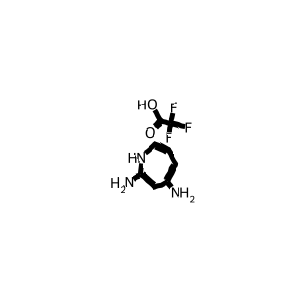 NC1=CC=CNC(N)=C1.O=C(O)C(F)(F)F